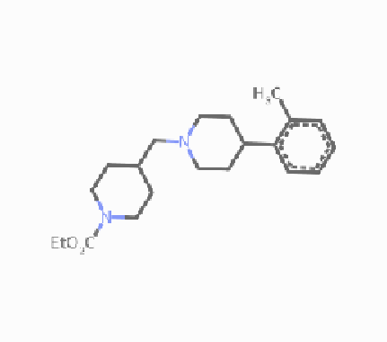 CCOC(=O)N1CCC(CN2CCC(c3ccccc3C)CC2)CC1